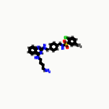 NCCCCNc1nc(NC[C@H]2CC[C@H](CNS(=O)(=O)c3cc(C(F)(F)F)ccc3Cl)CC2)nc2ccccc12